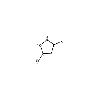 CCC1CC(C)NO1